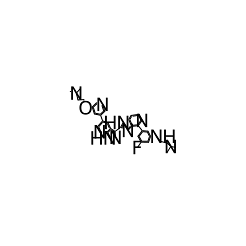 CN(C)CCNc1cc(F)cc(-c2nccc3[nH]c(-c4n[nH]c5ncc(-c6cncc(OCCN(C)C)c6)cc45)nc23)c1